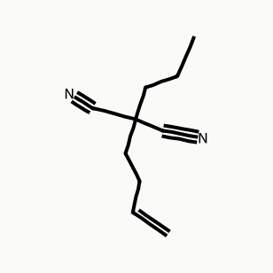 C=CCCC(C#N)(C#N)CCC